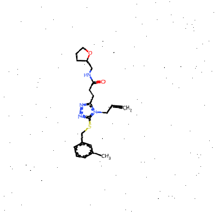 C=CCn1c(CCC(=O)NCC2CCCO2)nnc1SCc1cccc(C)c1